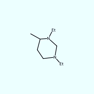 CCN1CCC(C)N(CC)C1